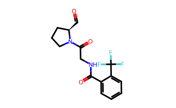 O=C[C@@H]1CCCN1C(=O)CNC(=O)c1ccccc1C(F)(F)F